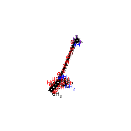 COc1cccc2c1C(=O)c1c(O)c3c(c(O)c1C2=O)C[C@](O)(/C(CO)=N/NC(=O)CCOCCOCCOCCOCCOCCOCCNC(=O)c1cc(I)cc(I)c1I)C[C@H]3O[C@H]1C[C@@H](N)[C@H](O)C(C)O1